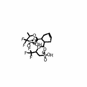 CC(OC(=O)C1CC=CCC1C(=O)OC(CS(=O)(=O)O)C(F)(F)F)C(F)(F)S(=O)(=O)O